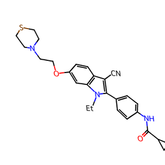 CCn1c(-c2ccc(NC(=O)C3CC3)cc2)c(C#N)c2ccc(OCCN3CCSCC3)cc21